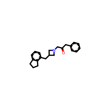 O=C(Cc1ccccc1)CN1CC(Cc2cccc3c2CCC3)C1